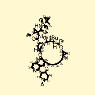 C=C[C@@H]1C[C@]1(NC(=O)[C@@H]1C[C@@H]2CN1C(=O)[C@H](C(C)(C)C)NC(=O)OC1C[C@@H]1CCCCCc1c(nc3ccncc3c1OC1CCN(C)CC1)O2)C(=O)NS(=O)(=O)C1(C)CC1